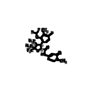 Cc1c(F)ccc([C@H]2[C@H](C(=O)Nc3ccn(C)c(=O)c3)O[C@@](C)(C(F)(F)F)[C@H]2C)c1OC(F)F